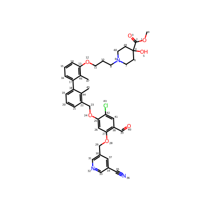 COC(=O)C1(O)CCN(CCCOc2cccc(-c3cccc(COc4cc(OCc5cncc(C#N)c5)c(C=O)cc4Cl)c3C)c2C)CC1